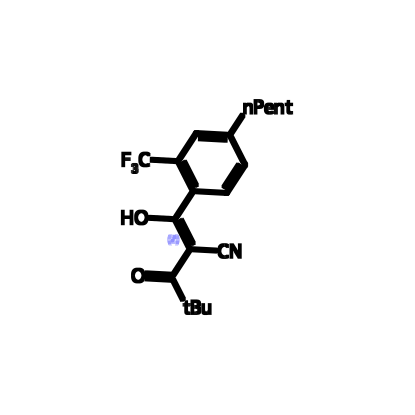 CCCCCc1ccc(/C(O)=C(\C#N)C(=O)C(C)(C)C)c(C(F)(F)F)c1